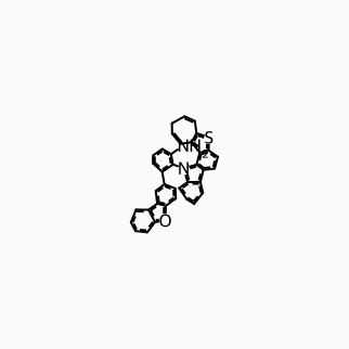 Nc1cccc(-c2ccc3oc4ccccc4c3c2)c1-n1c2ccccc2c2ccc3sc4c(c3c21)C=CCC=C4